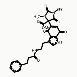 CCCN1C(=O)N(C)C(C(=O)OC)(C2=CC(=O)c3[nH]cc(CCNC(=O)CCc4ccccc4)c3C2=O)C1=O